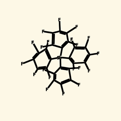 Fc1c(F)c(F)[c]([Sb]([c]2c(F)c(F)c(F)c(F)c2F)([c]2c(F)c(F)c(F)c(F)c2F)[c]2c(F)c(F)c(F)c(F)c2F)c(F)c1F